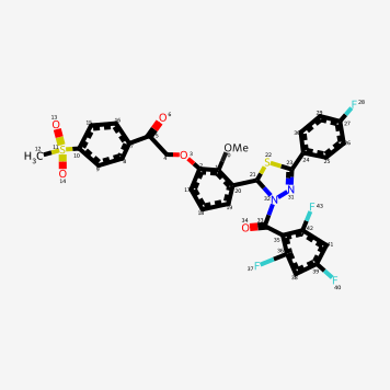 COc1c(OCC(=O)c2ccc(S(C)(=O)=O)cc2)cccc1C1SC(c2ccc(F)cc2)=NN1C(=O)c1c(F)cc(F)cc1F